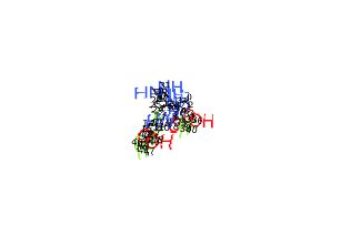 Cc1ccc2nc(C(=O)NCc3c(F)cccc3F)nc(NC3CCCCC3NC(=N)N)c2c1.O=C(O)C(F)(F)F.O=C(O)C(F)(F)F